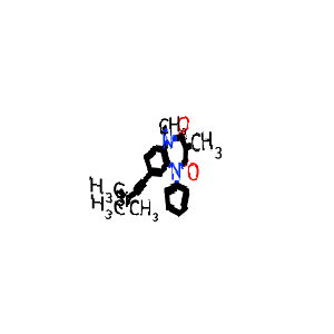 CC1C(=O)N(C)c2ccc(C#C[Si](C)(C)C)cc2N(c2ccccc2)C1=O